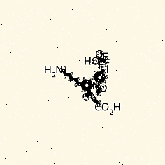 NCCCCCCc1ccc2c(c1)C(=O)N(CCC(=O)O)CC(=O)N2c1ccc(Cl)cc1.O=C(O)C(F)(F)F